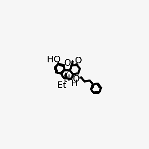 CCN1CC[C@]23c4c5ccc(O)c4OC2(C)C(=O)CC[C@@]3(OCCCc2ccccc2)[C@H]1C5